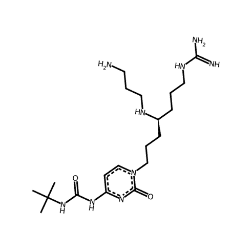 CC(C)(C)NC(=O)Nc1ccn(CCC[C@H](CCCNC(=N)N)NCCCN)c(=O)n1